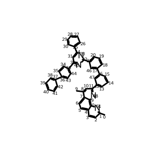 Cc1ccc2ccc3c(C)cc(-c4cccc(-c5cccc(-c6nc(-c7ccccc7)cc(-c7ccc(-c8ccccc8)cc7)n6)c5)c4)nc3c2n1